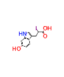 O=C(O)C(I)Cc1c[nH]c2cc(O)ccc12